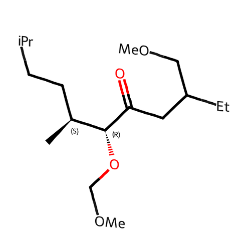 CCC(COC)CC(=O)[C@H](OCOC)[C@@H](C)CCC(C)C